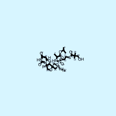 CC(C)OC(=O)C(C)NP(=O)(OCCSC(=O)C(C)(C)CO)OC[C@@]1(CN=[N+]=[N-])OC[C@](F)(n2ccc(=O)[nH]c2=O)[C@@H]1O